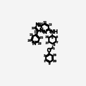 c1ccc(OC[C@H]2CC[C@@H](Nc3ccc4ncc(-c5ccncc5)n4n3)CC2)cc1